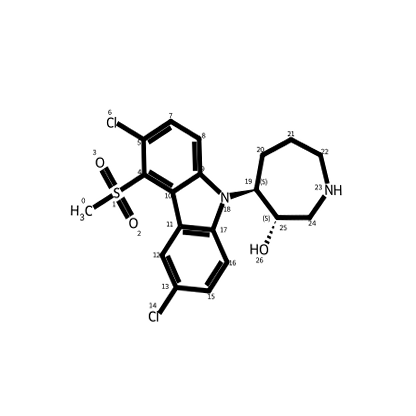 CS(=O)(=O)c1c(Cl)ccc2c1c1cc(Cl)ccc1n2[C@H]1CCCNC[C@@H]1O